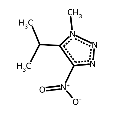 CC(C)c1c([N+](=O)[O-])nnn1C